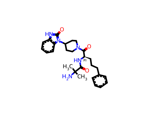 CC(C)(N)C(=O)N[C@H](CCCc1ccccc1)C(=O)N1CCC(n2c(=O)[nH]c3ccccc32)CC1